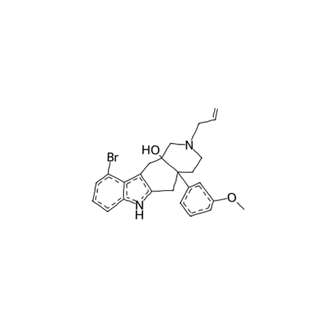 C=CCN1CCC2(c3cccc(OC)c3)Cc3[nH]c4cccc(Br)c4c3CC2(O)C1